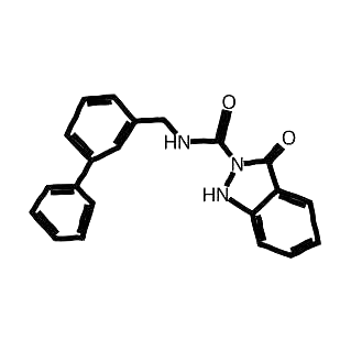 O=C(NCc1cccc(-c2ccccc2)c1)n1[nH]c2ccccc2c1=O